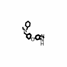 CCN(Cc1ccc(Oc2ccc3nc[nH]c3c2)cc1)CC1CCCCC1